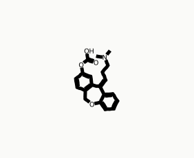 CN(C)CC/C=C1\c2cc(OC(=O)O)ccc2COc2ccccc21